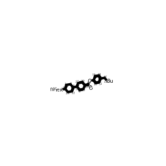 CCCCCCC1CCC(C2CCC(C(=O)Oc3ccc(CC(C)CC)cc3)CC2)CC1